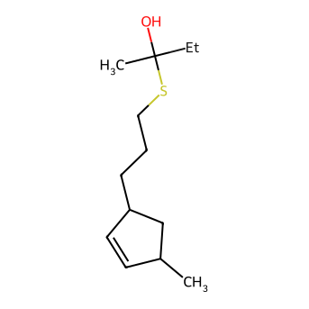 CCC(C)(O)SCCCC1C=CC(C)C1